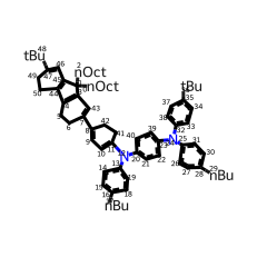 CCCCCCCCC1(CCCCCCCC)C2=C(CCC(C3=CC=C(N(c4ccc(CCCC)cc4)c4ccc(N(c5ccc(CCCC)cc5)c5ccc(C(C)(C)C)cc5)cc4)CC3)=C2)C2=C1C=C(C(C)(C)C)CC2